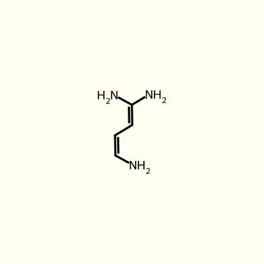 N/C=C\C=C(N)N